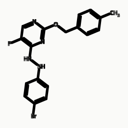 Cc1ccc(COc2ncc(F)c(NNc3ccc(Br)cc3)n2)cc1